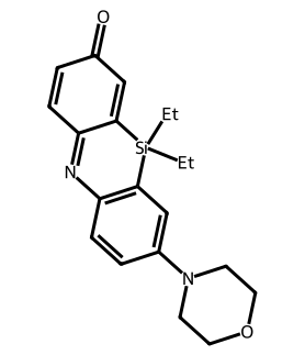 CC[Si]1(CC)C2=CC(=O)C=CC2=Nc2ccc(N3CCOCC3)cc21